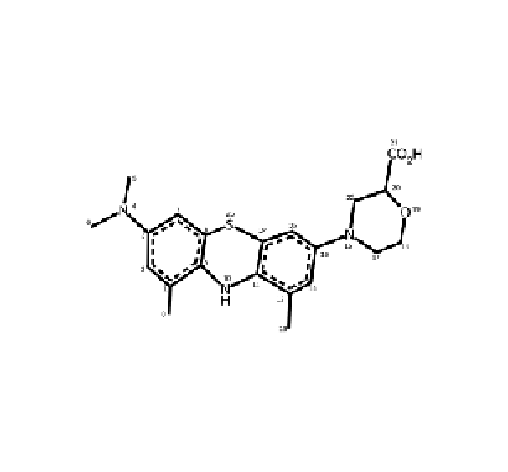 Cc1cc(N(C)C)cc2c1Nc1c(C)cc(N3CCOC(C(=O)O)C3)cc1S2